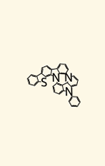 c1ccc(-n2c3cccnc3c3c(-n4c5ccccc5c5ccc6c7ccccc7sc6c54)cccc32)cc1